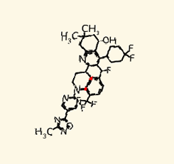 Cc1noc(-c2cnc(N3CCC(c4nc5c(c(C6CCC(F)(F)CC6)c4[C@@H](F)c4ccc(C(F)(F)F)cc4)[C@@H](O)CC(C)(C)C5)CC3)nc2)n1